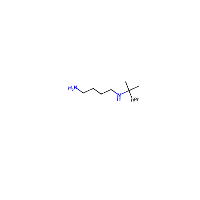 CCCC(C)(C)NCCCCN